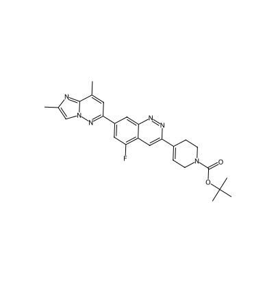 Cc1cn2nc(-c3cc(F)c4cc(C5=CCN(C(=O)OC(C)(C)C)CC5)nnc4c3)cc(C)c2n1